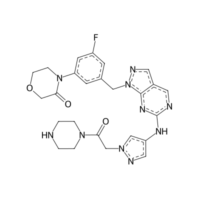 O=C(Cn1cc(Nc2ncc3cnn(Cc4cc(F)cc(N5CCOCC5=O)c4)c3n2)cn1)N1CCNCC1